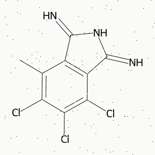 Cc1c(Cl)c(Cl)c(Cl)c2c1C(=N)NC2=N